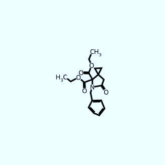 CCOC(=O)C1(C(=O)OCC)N(Cc2ccccc2)C(=O)CC12CC2